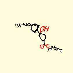 CCCCCCc1ccc(C2(O)CCC(C(=O)OCCCCC)CC2)cc1